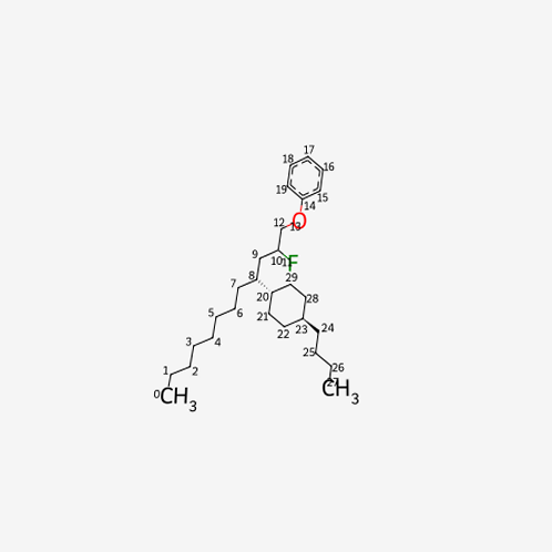 CCCCCCCCC(CC(F)COc1ccccc1)[C@H]1CC[C@H](CCCC)CC1